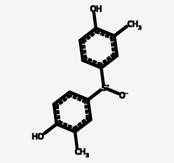 Cc1cc([S+]([O-])c2ccc(O)c(C)c2)ccc1O